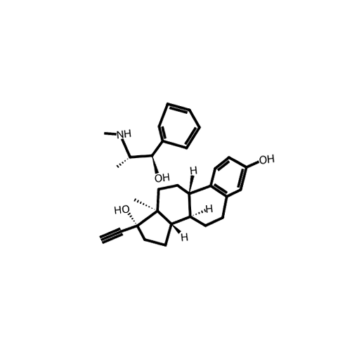 C#C[C@]1(O)CC[C@H]2[C@@H]3CCc4cc(O)ccc4[C@H]3CC[C@@]21C.CN[C@@H](C)[C@H](O)c1ccccc1